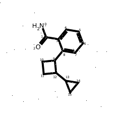 NC(=O)c1ccccc1C1CCC1C1CC1